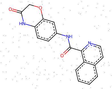 O=C1COc2cc(NC(=O)c3nccc4ccccc34)ccc2N1